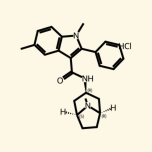 Cc1ccc2c(c1)c(C(=O)N[C@H]1C[C@H]3CC[C@@H](C1)N3C)c(-c1ccccc1)n2C.Cl